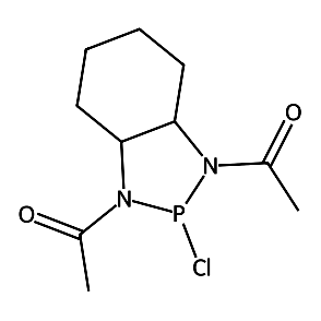 CC(=O)N1C2CCCCC2N(C(C)=O)P1Cl